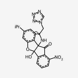 CC(C)c1ccc2c(c1)OC1(O)c3cccc([N+](=O)[O-])c3C(=O)C21NC(=O)Cn1cnnn1